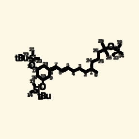 CC(CCCC=CC=C1C[C@@H](O[Si](C)(C)C(C)(C)C)C[C@H](O[Si](C)(C)C(C)(C)C)C1)CCCC(C)(C)O[Si](C)(C)C